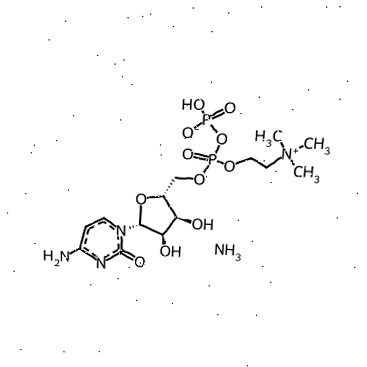 C[N+](C)(C)CCOP(=O)(OC[C@H]1O[C@@H](n2ccc(N)nc2=O)[C@H](O)[C@@H]1O)OP(=O)([O-])O.N